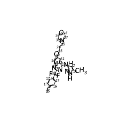 Cc1cc(Nc2nc(C(F)(F)c3ccc(F)cc3)nn3cc(OCCCN4CCOCC4)cc23)n[nH]1